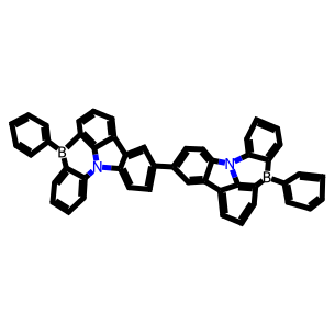 c1ccc(B2c3ccccc3-n3c4ccc(-c5ccc6c(c5)c5cccc7c5n6-c5ccccc5B7c5ccccc5)cc4c4cccc2c43)cc1